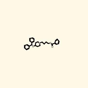 O=C(OCCCCN1CCC(OC(c2ccccc2)c2ccccc2)CC1)c1ccccc1